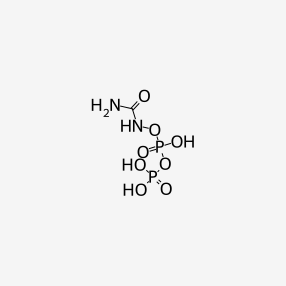 NC(=O)NOP(=O)(O)OP(=O)(O)O